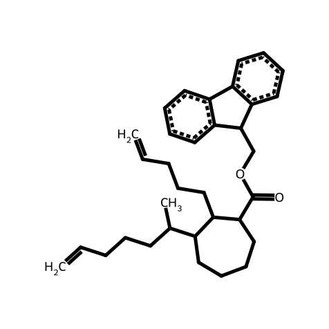 C=CCCCC(C)C1CCCCC(C(=O)OCC2c3ccccc3-c3ccccc32)C1CCCC=C